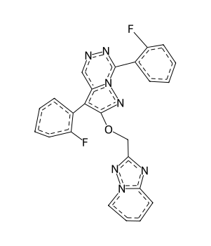 Fc1ccccc1-c1c(OCc2nc3ccccn3n2)nn2c(-c3ccccc3F)nncc12